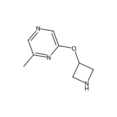 Cc1cncc(OC2CNC2)n1